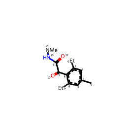 CCc1cc(C)cc(CC)c1C(=O)C(=O)NNC